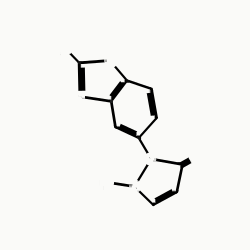 Cc1nc2cc(-n3c(=O)ccn3C)ccc2o1